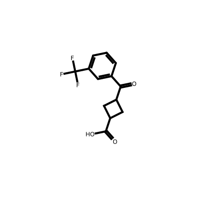 O=C(O)C1CC(C(=O)c2cccc(C(F)(F)F)c2)C1